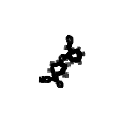 O=Cc1ccccc1OC1CCN(C(=O)O)CC1